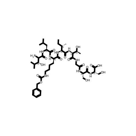 CC[C@H](C)[C@H](NC(=O)[C@@H](CCCCNC(=O)OCc1ccccc1)NC(=O)[C@H](CC(C)C)NC(=O)C(N)[C@H](O)C(C)C)C(=O)N[C@H](C(=O)NCC(=O)N[C@@H](CO)C(=O)N[C@@H](CO)C(=O)O)[C@H](C)O